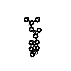 c1ccc(-c2cc(-c3ccccc3)nc(-c3cccc(-n4c5ccccc5c5cc(-c6ccc7c(c6)C6(c8ccccc8-c8ccccc86)c6c-7ccc7c6Oc6ccccc6O7)ccc54)c3)c2)cc1